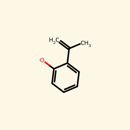 C=C(C)c1ccccc1[O]